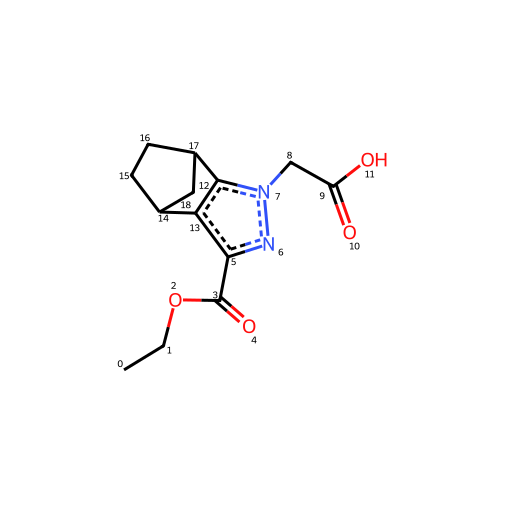 CCOC(=O)c1nn(CC(=O)O)c2c1C1CCC2C1